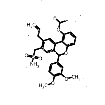 C=CCc1cc2c(cc1CS(N)(=O)=O)C(c1ccc(OC)c(OC)c1)Oc1cccc(OC(F)F)c1-2